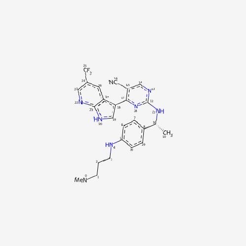 CNCCCNc1ccc([C@@H](C)Nc2ncc(C#N)c(-c3c[nH]c4ncc(C(F)(F)F)cc34)n2)cc1